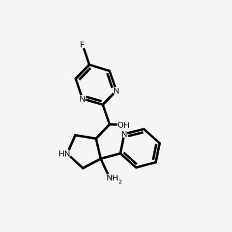 NC1(c2ccccn2)CNCC1C(O)c1ncc(F)cn1